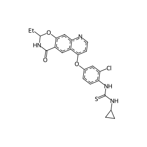 CCC1NC(=O)c2cc3c(Oc4ccc(NC(=S)NC5CC5)c(Cl)c4)ccnc3cc2O1